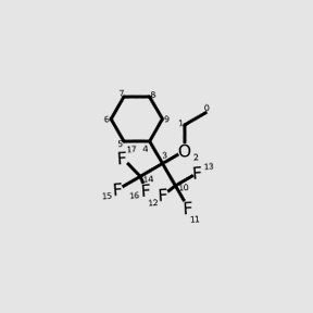 CCOC(C1CCCCC1)(C(F)(F)F)C(F)(F)F